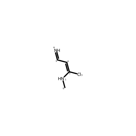 CN/C(Cl)=C\C=N